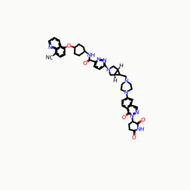 N#Cc1ccc(OC2CCC(NC(=O)c3ccc(N4C[C@@H]5C(CN6CCN(c7ccc8c(=O)n(C9CCC(=O)NC9=O)ncc8c7)CC6)[C@@H]5C4)nn3)CC2)c2cccnc12